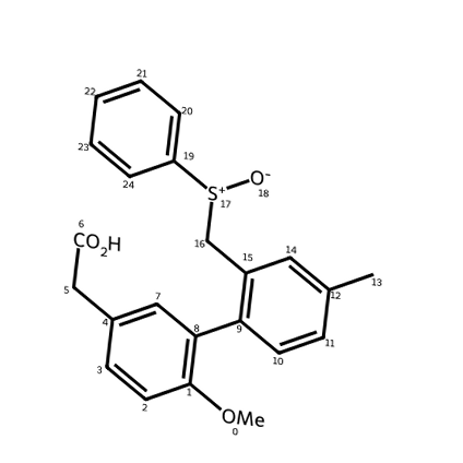 COc1ccc(CC(=O)O)cc1-c1ccc(C)cc1C[S+]([O-])c1ccccc1